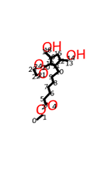 CCOC(=O)CCCCCCC1C(CO)CC(CO)C1C1OCCO1